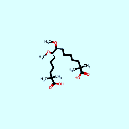 CO[C@@H](CCCCCC(C)(C)C(=O)O)[C@H](CCCCC(C)(C)C(=O)O)OC